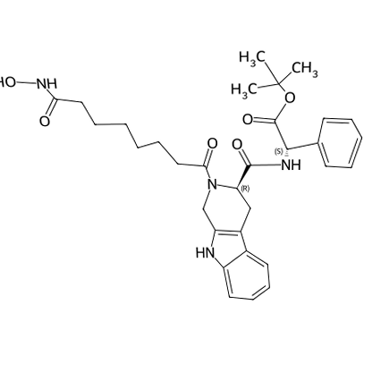 CC(C)(C)OC(=O)[C@@H](NC(=O)[C@H]1Cc2c([nH]c3ccccc23)CN1C(=O)CCCCCCC(=O)NO)c1ccccc1